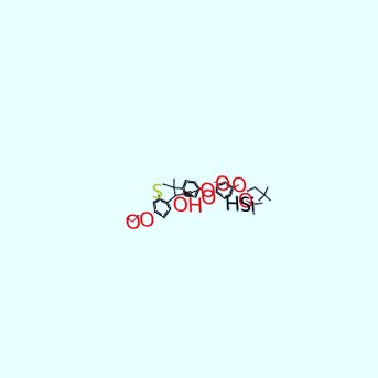 COCOc1ccc(C2(C)CSc3cc(OCOC)ccc3C2(O)C#CCOc2ccc(OC(CC(C)(C)C)O[SiH](C)C)cc2)cc1